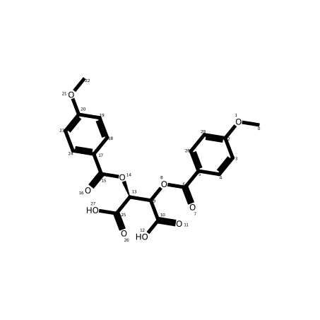 COc1ccc(C(=O)OC(C(=O)O)[C@H](OC(=O)c2ccc(OC)cc2)C(=O)O)cc1